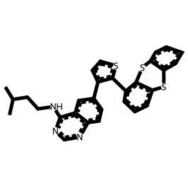 CC(C)CCNc1ncnc2ccc(-c3ccsc3-c3cccc4c3Sc3ccccc3S4)cc12